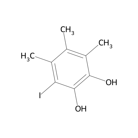 Cc1c(C)c(O)c(O)c(I)c1C